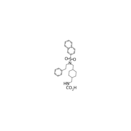 O=C(O)NCC1CCC(CN(CCc2ccccc2)S(=O)(=O)c2ccc3ccccc3c2)CC1